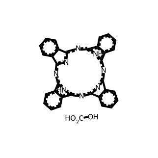 O=C(O)O.c1ccc2c(c1)-c1nc-2nc2[nH]c(nc3nc(nc4[nH]c(n1)c1ccccc41)-c1ccccc1-3)c1ccccc21